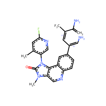 C=C(N)/C(=C\C(=C/N)c1ccc2ncc3c(c2c1)n(-c1cnc(F)cc1C)c(=O)n3C)C(F)(F)F